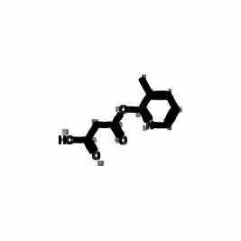 Cc1cccnc1OC(=O)CC(=O)O